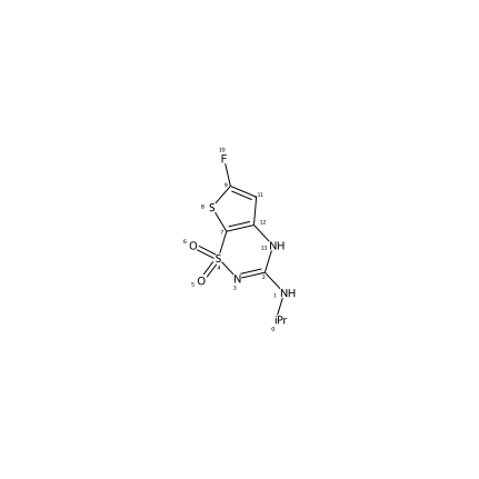 CC(C)NC1=NS(=O)(=O)c2sc(F)cc2N1